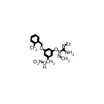 C=NN(Oc1cc(C)cc(OCc2ccccc2C(F)(F)F)c1)C(N)=NCC.O=[N+]([O-])O